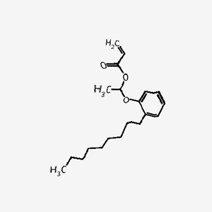 C=CC(=O)OC(C)Oc1ccccc1CCCCCCCCC